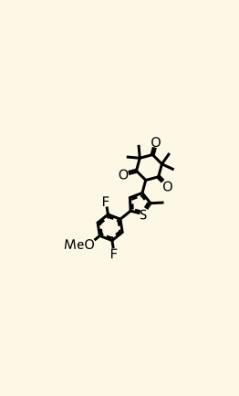 COc1cc(F)c(-c2cc(C3C(=O)C(C)(C)C(=O)C(C)(C)C3=O)c(C)s2)cc1F